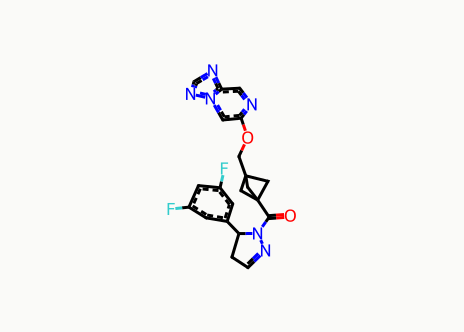 O=C(N1N=CCC1c1cc(F)cc(F)c1)C12CC(COc3cn4ncnc4cn3)(C1)C2